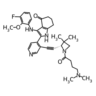 COc1c(F)cccc1Nc1c(-c2ccncc2C#C[C@H]2N(C(=O)CCCN(C)C)CC2(C)C)[nH]c2c1C(=O)CCC2